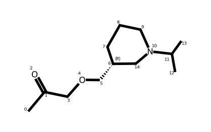 CC(=O)COC[C@@H]1CCCN(C(C)C)C1